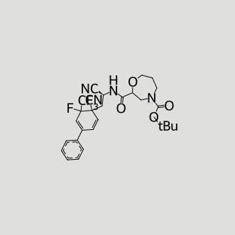 CC(C)(C)OC(=O)N1CCCOC(C(=O)N[C@H](C#N)CC2(C#N)C=CC(c3ccccc3)=CC2(F)C(F)(F)F)C1